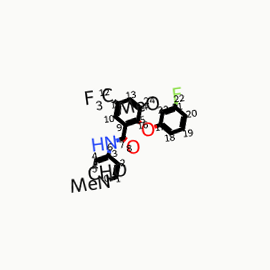 CN/C=C\C(=C/C=O)NC(=O)c1cc(C(F)(F)F)ccc1Oc1cccc(F)c1OC